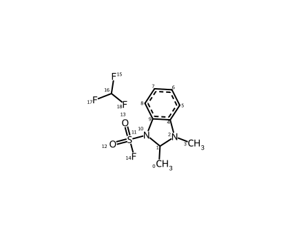 CC1N(C)c2ccccc2N1S(=O)(=O)F.FC(F)F